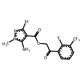 CCc1nn(C)c(N)c1C(=O)OCC(=O)c1cccc(C(F)(F)F)c1F